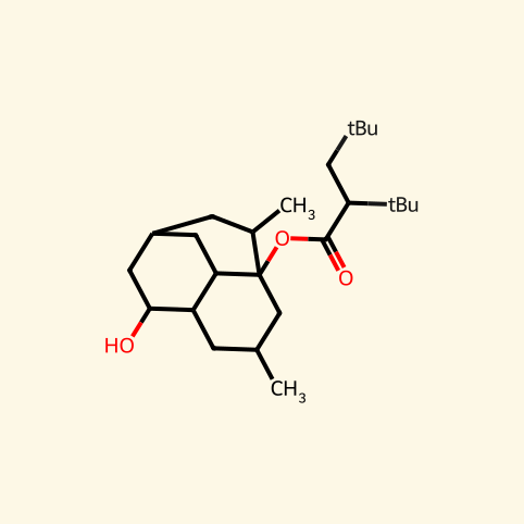 CC1CC2C(O)CC3CC(C)C(OC(=O)C(CC(C)(C)C)C(C)(C)C)(C1)C2C3